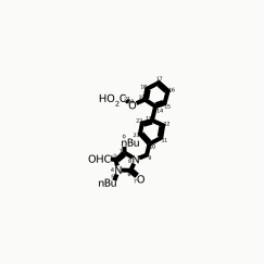 CCCCc1c(C=O)n(CCCC)c(=O)n1Cc1ccc(-c2ccccc2OC(=O)O)cc1